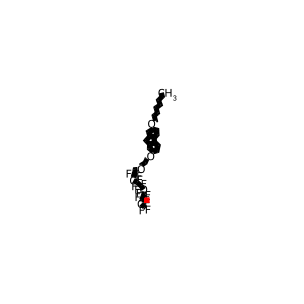 CCCCCCCCOc1ccc2c(c1)Cc1cc(OCCCOCC(F)(F)OC(F)(F)C(F)(F)OC(F)(F)C(F)(F)OC(F)(F)F)ccc1-2